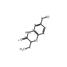 CCC1Oc2ccc(CCl)cc2NC1=O